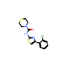 O=C(Nc1nc(-c2ccccc2Cl)cs1)N1CCSCC1